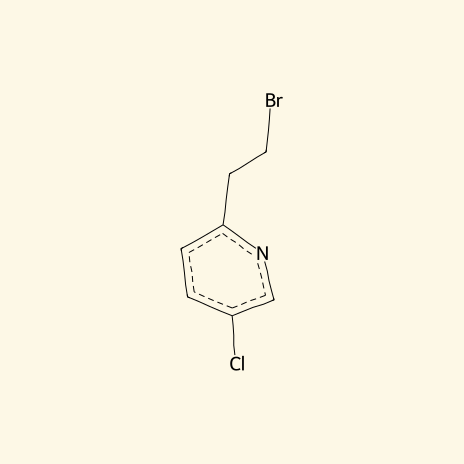 Clc1ccc(CCBr)nc1